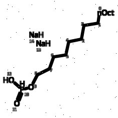 CCCCCCCCCCCCCCCCO[PH](=O)O.[NaH].[NaH]